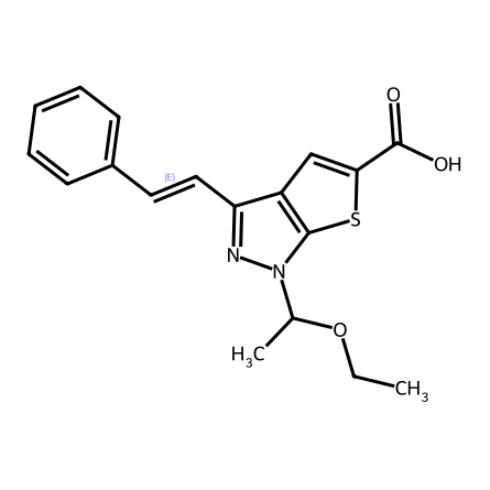 CCOC(C)n1nc(/C=C/c2ccccc2)c2cc(C(=O)O)sc21